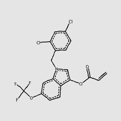 C=CC(=O)Oc1cn(Cc2ccc(Cl)cc2Cl)c2cc(OC(F)(F)F)ccc12